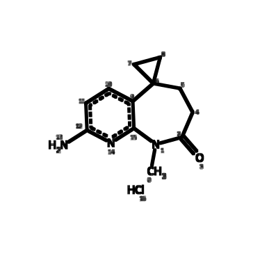 CN1C(=O)CCC2(CC2)c2ccc(N)nc21.Cl